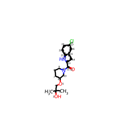 CC(C)(O)COC1CCCN(C(=O)c2cc3cc(Cl)ccc3[nH]2)C1